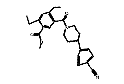 CCc1cc(CC)c(C(=O)N2CCC(c3ccc(C#N)cc3)CC2)cc1C(=O)OC